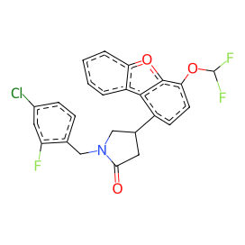 O=C1CC(c2ccc(OC(F)F)c3oc4ccccc4c23)CN1Cc1ccc(Cl)cc1F